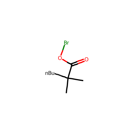 CCCCC(C)(C)C(=O)OBr